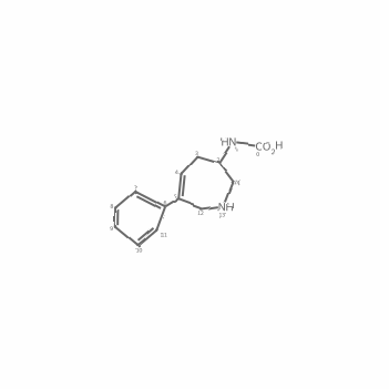 O=C(O)NC1CC=C(c2ccccc2)CNC1